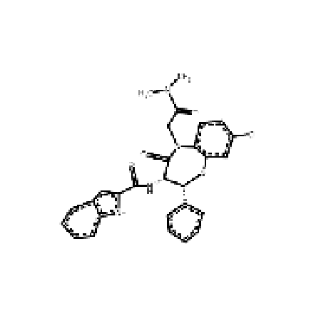 CN(C)C(=O)CN1C(=O)[C@@H](NC(=O)c2cc3ccccc3[nH]2)[C@@H](c2ccccc2)Sc2cc(Cl)ccc21